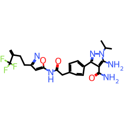 C=C(CCc1cc(NC(=O)Cc2ccc(-c3nn(C(C)C)c(N)c3C(N)=O)cc2)on1)C(F)(F)F